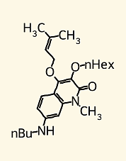 CCCCCCOc1c(OCC=C(C)C)c2ccc(NCCCC)cc2n(C)c1=O